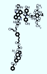 C(=N/NC1=NCCN1)/c1c2ccccc2c(/C=N\NC2=NCCN2)c2ccccc12.CC/C(=C(/CC)c1ccc(O)cc1)c1ccc(O)cc1.CCOC(=O)NC1=C(N2CC2)C(=O)C(NC(=O)OCC)=C(N2CC2)C1=O.C[C@]12CC[C@@H]3c4ccc(OC(=O)c5ccccc5)cc4CC[C@H]3[C@@H]1CC[C@@H]2OC(=O)COC(=O)CCCc1ccc(N(CCCl)CCCl)cc1